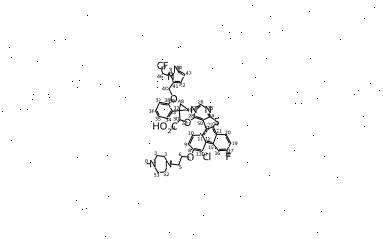 CN1CCN(CCOc2ccc3c(c2Cl)c2cc(F)ccc2c2sc4ncnc(OC(C(=O)O)C5(c6ccccc6OCc6ccnn6CC(F)(F)F)CC5)c4c32)CC1